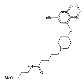 CCCCc1cc(OC2CCN(CCCCC(=O)NCCCOC)CC2)c2ncccc2c1